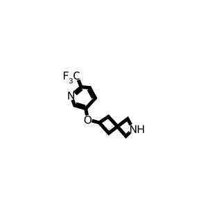 FC(F)(F)c1ccc(OC2CC3(CNC3)C2)cn1